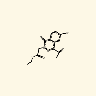 CCOC(=O)Cn1nc(C(C)=O)c2cc(Br)ccc2c1=O